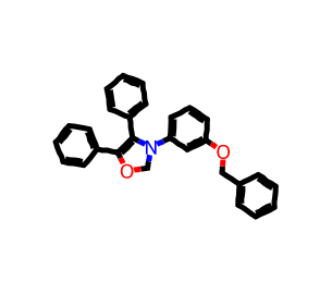 c1ccc(COc2cccc(N3COC(c4ccccc4)=C3c3ccccc3)c2)cc1